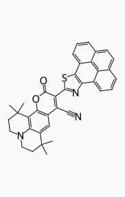 CC1(C)CCN2CCC(C)(C)c3c2c1cc1c(C#N)c(-c2nc4c5cccc6ccc7cccc(c4s2)c7c65)c(=O)oc31